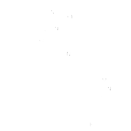 Cc1nc2ccccc2c(=O)n1CCN1CCC(c2onc3cc(F)ccc23)CC1